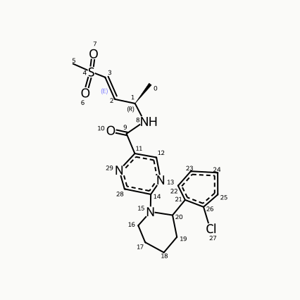 C[C@H](/C=C/S(C)(=O)=O)NC(=O)c1cnc(N2CCCCC2c2ccccc2Cl)cn1